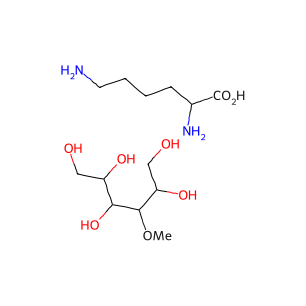 COC(C(O)CO)C(O)C(O)CO.NCCCCC(N)C(=O)O